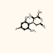 Cc1cc(F)cc(C)c1N(CC=O)C(=O)C(=O)O